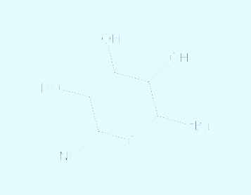 CC(C)(C)C1OC(C#N)C(O)C(O)C1O